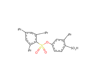 CC(C)c1cc(C(C)C)c(S(=O)(=O)Oc2ccc(S(=O)(=O)O)c(C(C)C)c2)c(C(C)C)c1